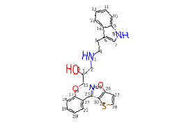 OC(CNCCc1c[nH]c2ccccc12)COc1ccccc1-c1noc2ccsc12